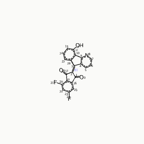 O=C1/C(=C2\c3cccnc3-c3c(O)cccc32)C(=O)c2c(F)cc(F)cc21